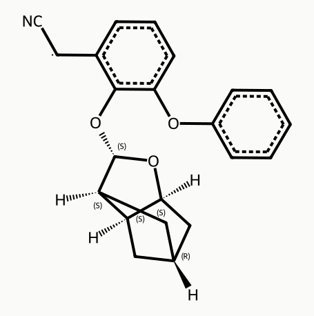 N#C[CH]c1cccc(Oc2ccccc2)c1O[C@@H]1O[C@H]2C[C@H]3C[C@H]1[C@@H]2C3